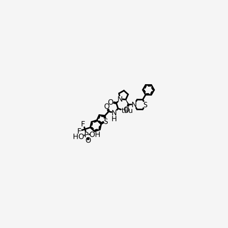 CC(C)(C)C(NC(=O)c1cc2cc(C(F)(F)P(=O)(O)O)ccc2s1)C(=O)N1CCC[C@H]1C(=O)N1CCSC(c2ccccc2)C1